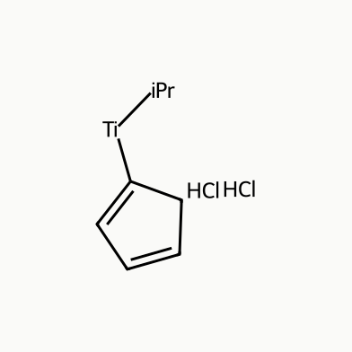 C[CH](C)[Ti][C]1=CC=CC1.Cl.Cl